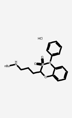 CCCCNCCCC1Oc2ccccc2N(c2ccccc2)S1(=O)=O.Cl